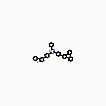 c1ccc(-c2nc(-c3ccc(-c4ccc5oc6ccccc6c5c4)cc3)nc(-c3ccc(-c4ccc5c6ccccc6c6ccccc6c5c4)cc3)n2)cc1